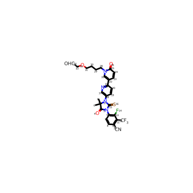 CC1(C)C(=O)N(c2ccc(C#N)c(C(F)(F)F)c2F)C(=S)N1c1ccc(-c2ccc(=O)n(CCCCOCC=O)c2)nc1